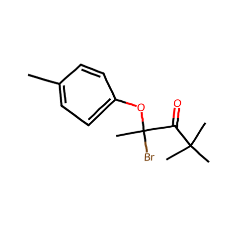 Cc1ccc(OC(C)(Br)C(=O)C(C)(C)C)cc1